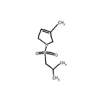 CC1=CCN(S(=O)(=O)CC(C)C)C1